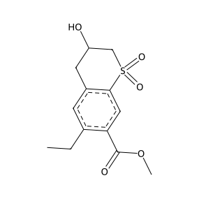 CCc1cc2c(cc1C(=O)OC)S(=O)(=O)CC(O)C2